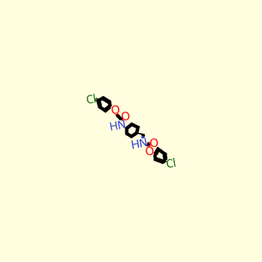 O=C(COc1ccc(Cl)cc1)N[C@H]1CC[C@H](CNC(=O)Oc2ccc(Cl)cc2)CC1